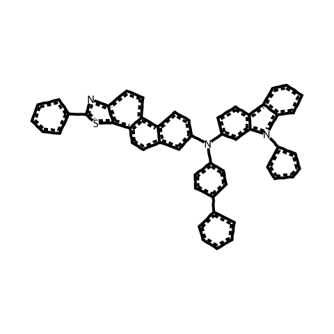 c1ccc(-c2ccc(N(c3ccc4c(ccc5c4ccc4nc(-c6ccccc6)sc45)c3)c3ccc4c5ccccc5n(-c5ccccc5)c4c3)cc2)cc1